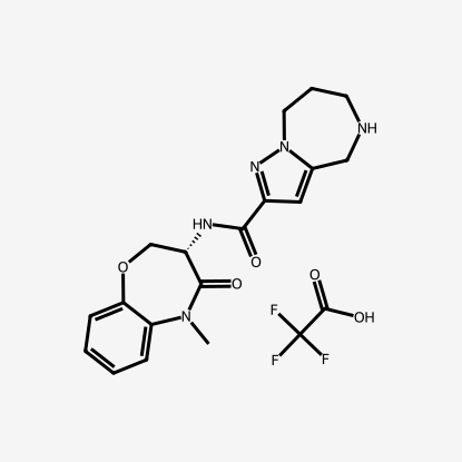 CN1C(=O)[C@@H](NC(=O)c2cc3n(n2)CCCNC3)COc2ccccc21.O=C(O)C(F)(F)F